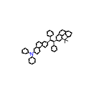 CC1(C)c2cccc3ccc4cc(/C(=C(\c5ccccc5)c5ccc6c(ccc7cc(N(c8ccccc8)c8ccccc8)ccc76)c5)c5ccccc5)cc1c4c23